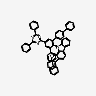 c1ccc(-c2ccc(-c3cc(-c4nc(-c5ccccc5)nc(-c5ccccc5)n4)cc(-c4ccc(-c5ccccc5)cc4)c3-n3c4ccccc4c4ccc5c6ccccc6oc5c43)cc2)cc1